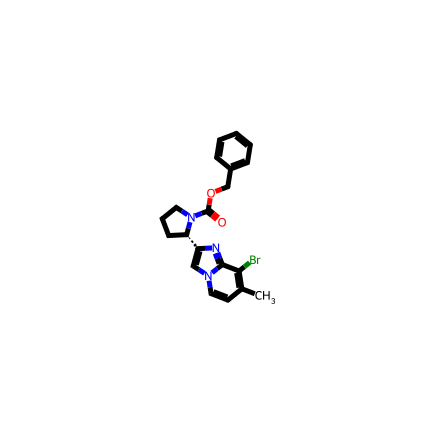 Cc1ccn2cc([C@@H]3CCCN3C(=O)OCc3ccccc3)nc2c1Br